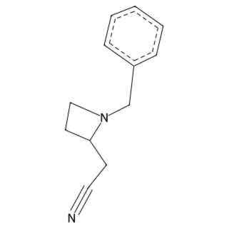 N#CCC1CCN1Cc1ccccc1